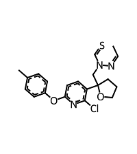 C/C=N\N(C=S)CC1(c2ccc(Oc3ccc(C)cc3)nc2Cl)CCCO1